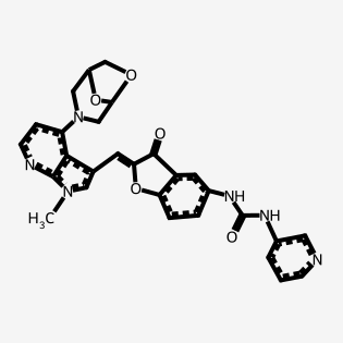 Cn1cc(/C=C2\Oc3ccc(NC(=O)Nc4cccnc4)cc3C2=O)c2c(N3CC4COC(C3)O4)ccnc21